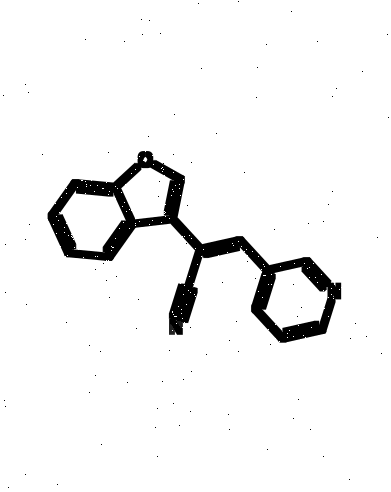 N#C/C(=C\c1cccnc1)c1coc2ccccc12